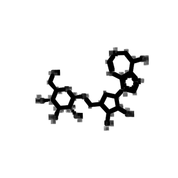 OC[C@H]1O[C@@H](OCC2CC(n3cnc4c3N=CNCC4O)C(O)C2O)[C@H](O)[C@@H](O)[C@@H]1O